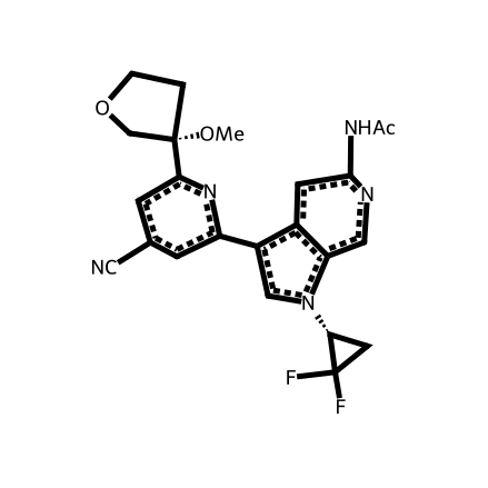 CO[C@@]1(c2cc(C#N)cc(-c3cn([C@@H]4CC4(F)F)c4cnc(NC(C)=O)cc34)n2)CCOC1